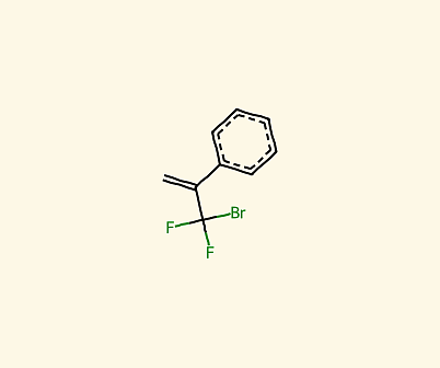 C=C(c1ccccc1)C(F)(F)Br